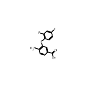 CCC(=O)c1ccc(N)c(Sc2ccc(F)cc2F)c1